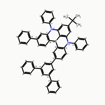 CC(C)(C)c1cc2c3c(c1)N(c1ccccc1)c1cc(-c4ccccc4)ccc1B3c1cc(-c3cc(-c4ccccc4)cc(-c4ccccc4)c3)ccc1N2c1ccccc1